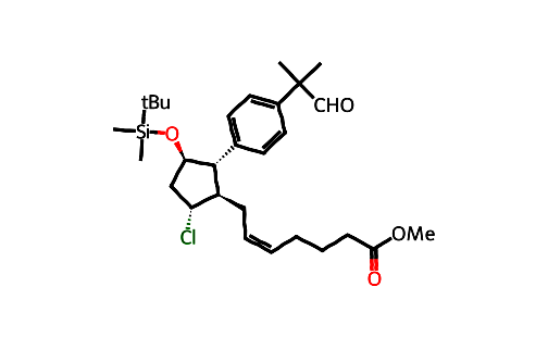 COC(=O)CCC/C=C\C[C@@H]1[C@@H](c2ccc(C(C)(C)C=O)cc2)[C@H](O[Si](C)(C)C(C)(C)C)C[C@H]1Cl